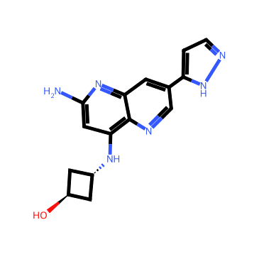 Nc1cc(N[C@H]2C[C@H](O)C2)c2ncc(-c3ccn[nH]3)cc2n1